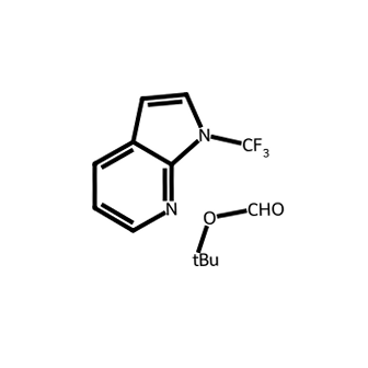 CC(C)(C)OC=O.FC(F)(F)n1ccc2cccnc21